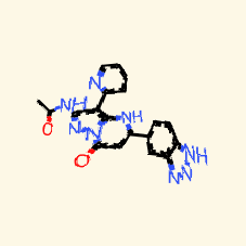 CC(=O)Nc1nn2c(=O)cc(-c3ccc4[nH]nnc4c3)[nH]c2c1-c1ccccn1